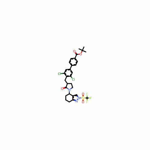 CC(C)(C)OC(=O)c1ccc(-c2cc(Cl)c(CC3CCN(C4CCCc5nn(S(=O)(=O)C(F)(F)F)cc54)C3=O)c(Cl)c2)cc1